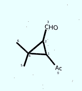 CC(=O)C1C(C=O)C1(C)C